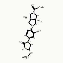 COC(=O)N1C[C@@H]2CN(c3ccc(N4C[C@H](CNC(C)=O)OC4=O)cc3F)C[C@@H]2C1